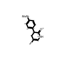 CNc1ccc(C2CC(F)=CNC2=O)cc1